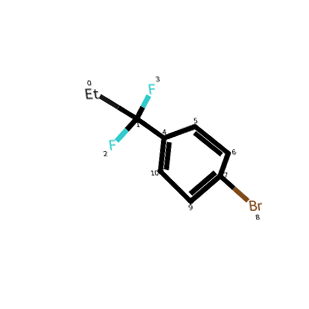 CCC(F)(F)c1ccc(Br)cc1